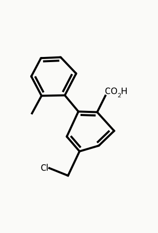 Cc1ccccc1-c1cc(CCl)ccc1C(=O)O